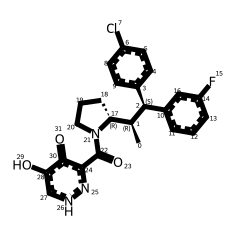 C[C@H]([C@@H](c1ccc(Cl)cc1)c1cccc(F)c1)[C@H]1CCCN1C(=O)c1n[nH]cc(O)c1=O